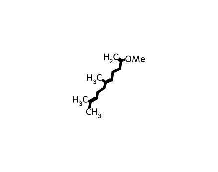 C=C(CC/C=C(\C)CCC=C(C)C)OC